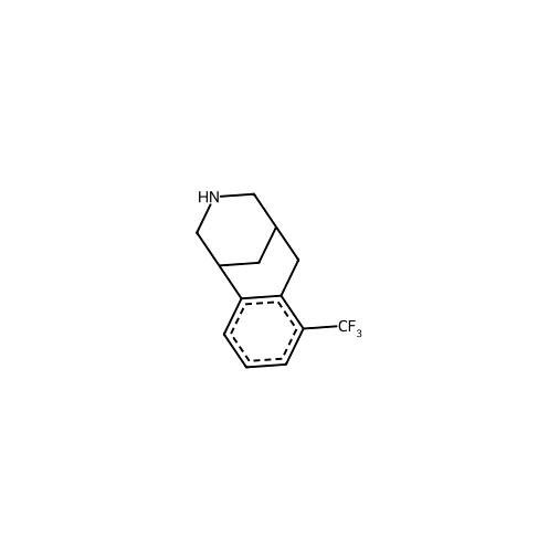 FC(F)(F)c1cccc2c1CC1CNCC2C1